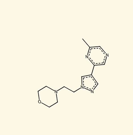 Cc1cncc(-c2cnn(CCN3CCOCC3)c2)n1